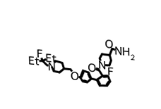 CCC(F)(CC)CN1CCC(COc2ccc(-c3cccc(F)c3C(=O)N3CCC(C(N)=O)CC3)cc2)CC1